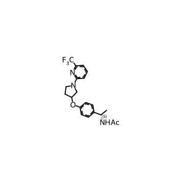 CC(=O)N[C@@H](C)c1ccc(OC2CCN(c3cccc(C(F)(F)F)n3)C2)cc1